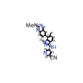 CNc1ncc2cc(-c3c(C)ccc4c(Nc5cncc(C#N)c5)nn(C)c34)ccc2n1